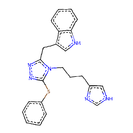 c1ccc(Sc2nnc(Cc3c[nH]c4ccccc34)n2CCCc2c[nH]cn2)cc1